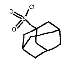 O=S(=O)(Cl)C12CC3CC(CC(C3)C1)C2